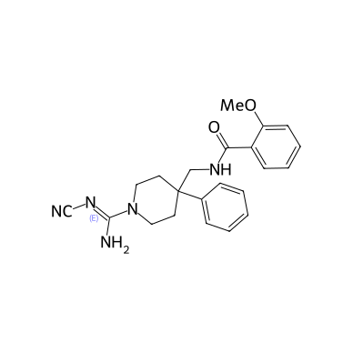 COc1ccccc1C(=O)NCC1(c2ccccc2)CCN(/C(N)=N/C#N)CC1